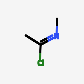 C/N=C(\C)Cl